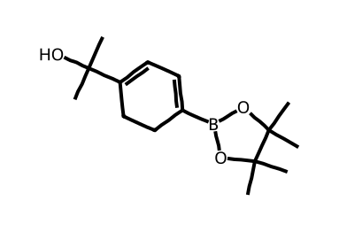 CC(C)(O)C1=CC=C(B2OC(C)(C)C(C)(C)O2)CC1